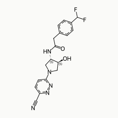 N#Cc1ccc(N2C[C@H](NC(=O)Cc3ccc(C(F)F)cc3)[C@@H](O)C2)nn1